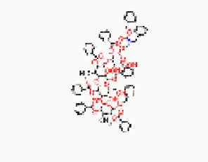 CC1C(OC(=O)c2ccccc2)C(COCc2ccccc2)OC(OC2C(O)C(CO)OC(OC3C(COCc4ccccc4)OC(OC4C(O)C(CO)OC(OCN(Cc5ccccc5)C(=O)OCc5ccccc5)C4OC(=O)c4ccccc4)C(OC(=O)c4ccccc4)C3C)C2OC(=O)c2ccccc2)C1OC(=O)c1ccccc1